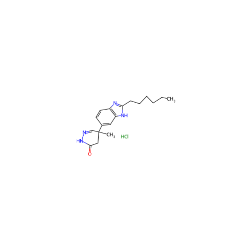 CCCCCCc1nc2ccc(C3(C)C=NNC(=O)C3)cc2[nH]1.Cl